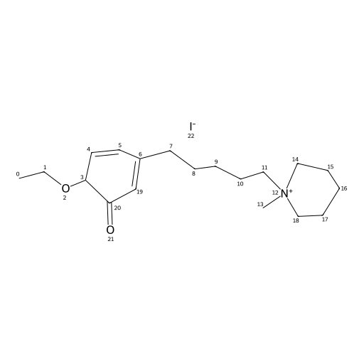 CCOC1C=CC(CCCCC[N+]2(C)CCCCC2)=CC1=O.[I-]